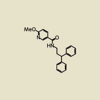 COc1ccc(C(=O)NCCC(c2ccccc2)c2ccccc2)cn1